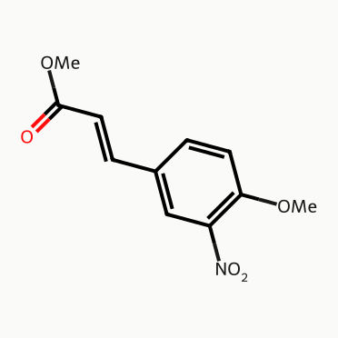 COC(=O)C=Cc1ccc(OC)c([N+](=O)[O-])c1